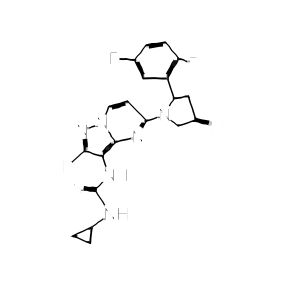 O=C1CC(c2cc(F)ccc2F)N(c2ccn3nc(F)c(NC(=S)NC4CC4)c3n2)C1